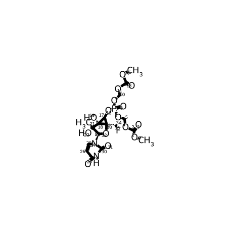 COC(=O)OCOP(=O)(OCOC(=O)OC)OC1[C@]2(O)[C@@](C)(O)[C@H](n3ccc(=O)[nH]c3=O)O[C@]12CF